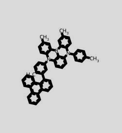 Cc1ccc(N2c3ccc(C)cc3B3c4cc(C)ccc4N(c4ccc(C)c(-c5cccc6c7ccccc7c7ccccc7c56)c4)c4cccc2c43)cc1